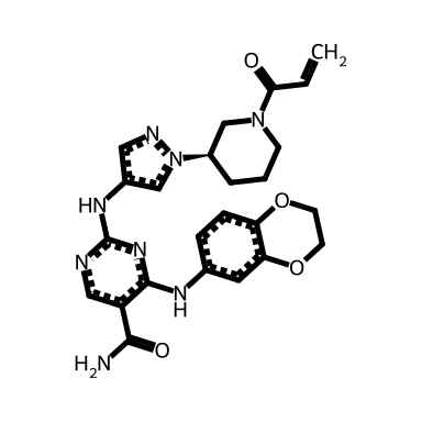 C=CC(=O)N1CCC[C@@H](n2cc(Nc3ncc(C(N)=O)c(Nc4ccc5c(c4)OCCO5)n3)cn2)C1